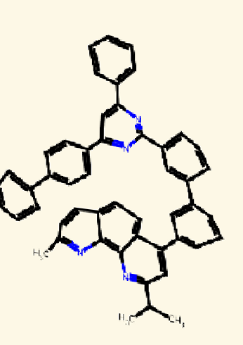 Cc1ccc2ccc3c(-c4cccc(-c5cccc(-c6nc(-c7ccccc7)cc(-c7ccc(-c8ccccc8)cc7)n6)c5)c4)cc(C(C)C)nc3c2n1